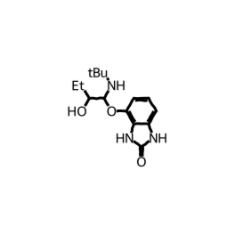 CCC(O)C(NC(C)(C)C)Oc1cccc2[nH]c(=O)[nH]c12